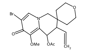 C=CC1C(OC(C)=O)c2c(OC)c(=O)c(Br)cn2CC12CCOCC2